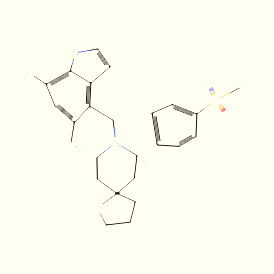 COc1cc(C)c2[nH]ccc2c1CN1CCC2(CCCO2)C[C@H]1c1ccc(S(C)(=N)=O)cc1